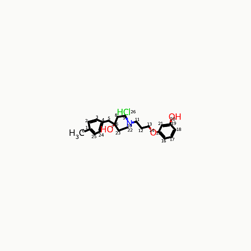 Cc1ccc(CC2(O)CCN(CCCOc3cccc(O)c3)CC2)cc1.Cl